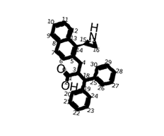 O=C(O)C(Cc1ccc2ccccc2c1[C@@H]1CN1)C(c1ccccc1)c1ccccc1